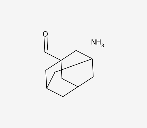 N.O=CC12CC3CC(CC(C3)C1)C2